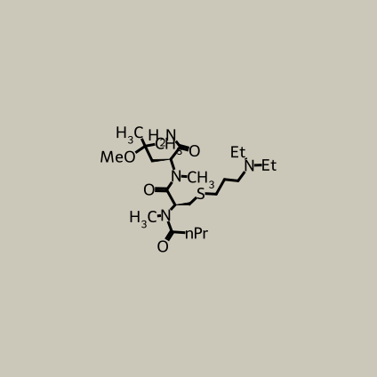 CCCC(=O)N(C)[C@H](CSCCCN(CC)CC)C(=O)N(C)[C@@H](CC(C)(C)OC)C(N)=O